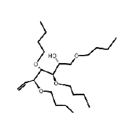 C=C[C@H](OCCCC)[C@H](OCCCC)[C@H](OCCCC)[C@H](O)COCCCC